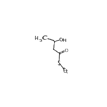 CCSC(=O)CC(C)O